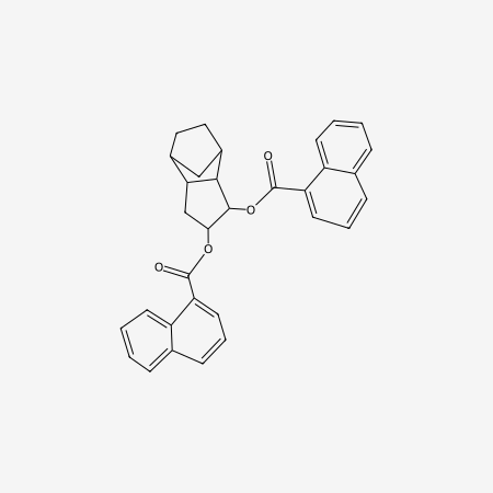 O=C(OC1CC2C3CCC(C3)C2C1OC(=O)c1cccc2ccccc12)c1cccc2ccccc12